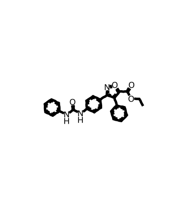 CCOC(=O)c1onc(-c2ccc(NC(=O)Nc3ccccc3)cc2)c1-c1ccccc1